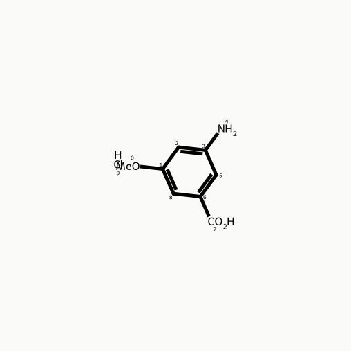 COc1cc(N)cc(C(=O)O)c1.Cl